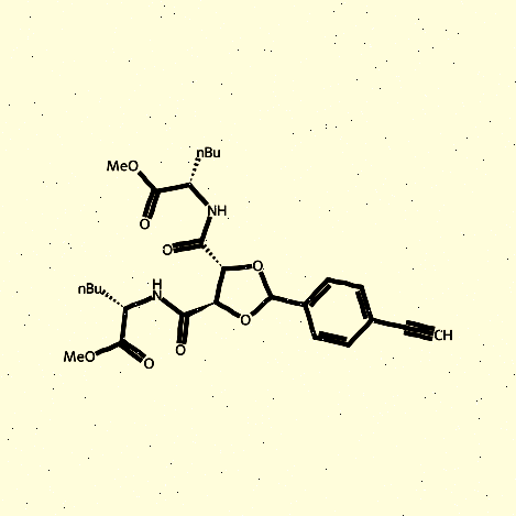 C#Cc1ccc(C2O[C@@H](C(=O)N[C@@H](CCCC)C(=O)OC)[C@H](C(=O)N[C@@H](CCCC)C(=O)OC)O2)cc1